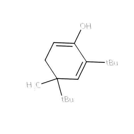 CC(C)(C)C1=CC(C)(C(C)(C)C)CC=C1O